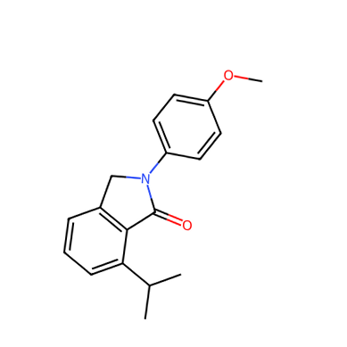 COc1ccc(N2Cc3cccc(C(C)C)c3C2=O)cc1